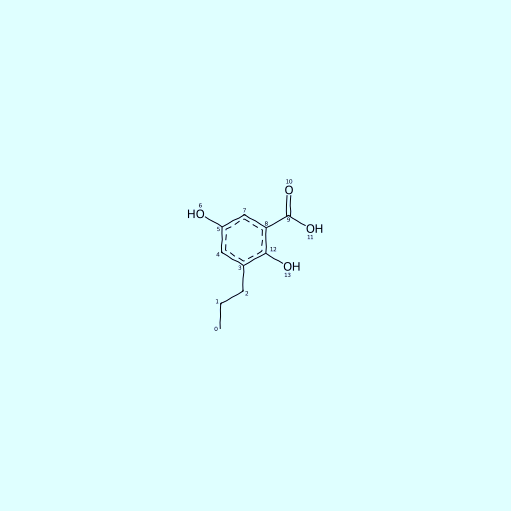 CCCc1cc(O)cc(C(=O)O)c1O